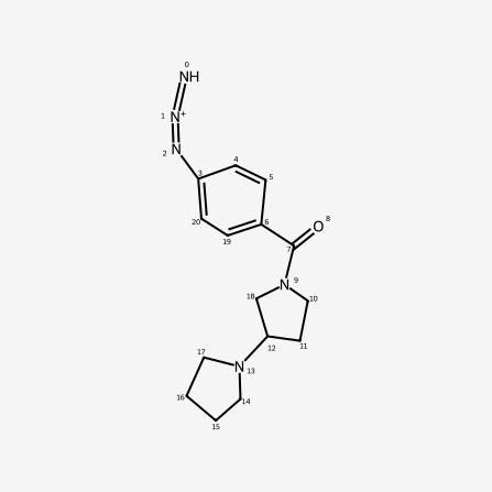 N=[N+]=Nc1ccc(C(=O)N2CCC(N3CCCC3)C2)cc1